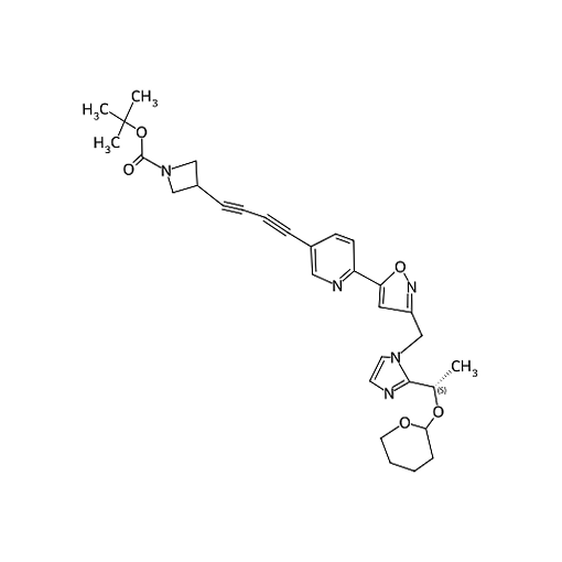 C[C@H](OC1CCCCO1)c1nccn1Cc1cc(-c2ccc(C#CC#CC3CN(C(=O)OC(C)(C)C)C3)cn2)on1